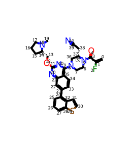 C=C(F)C(=O)N1CCN(c2nc(OC[C@@H]3CCCN3C)nc3cc(-c4cccc5sccc45)ccc23)C[C@@H]1CC#N